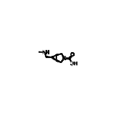 CNCC1C2CN(C(=O)O)CC12